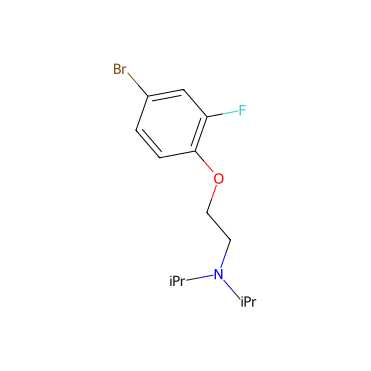 CC(C)N(CCOc1ccc(Br)cc1F)C(C)C